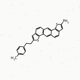 Cc1ccc(CCc2cc3ccc4cc5c(ccc6cc(P)sc65)cc4c3s2)cc1